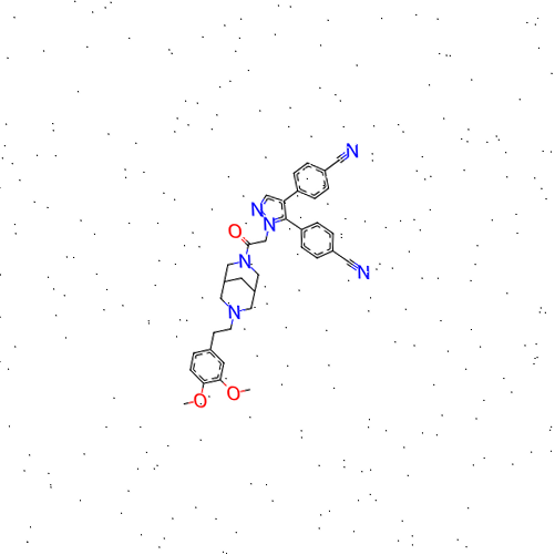 COc1ccc(CCN2CC3CC(C2)CN(C(=O)Cn2ncc(-c4ccc(C#N)cc4)c2-c2ccc(C#N)cc2)C3)cc1OC